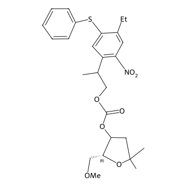 CCc1cc([N+](=O)[O-])c(C(C)COC(=O)OC2CC(C)(C)O[C@@H]2COC)cc1Sc1ccccc1